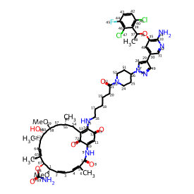 CO[C@H]1C=CC=C(C)C(=O)NC2=CC(=O)C(NCCCCCC(=O)N3CCC(n4cc(-c5cnc(N)c(OC(C)c6c(Cl)ccc(F)c6Cl)c5)cn4)CC3)=C(C[C@@H](C)C[C@H](OC)[C@@H](O)[C@@H](C)C=C(C)[C@@H]1OC(N)=O)C2=O